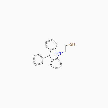 SCCNc1ccccc1C(c1ccccc1)c1ccccc1